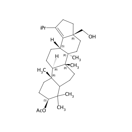 CC(=O)O[C@H]1CC[C@@]2(C)C(CC[C@]3(C)[C@@H]2CC[C@@H]2C4=C(C(C)C)CC[C@]4(CO)CC[C@]23C)C1(C)C